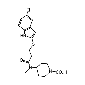 CN(C(=O)CCSc1cc2cc(Cl)ccc2[nH]1)C1CCN(C(=O)O)CC1